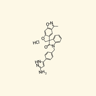 Cc1noc2cc3c(cc12)C1(CO3)C(=O)N(Cc2ccc(-c3cc(N)n[nH]3)cc2)c2ccccc21.Cl